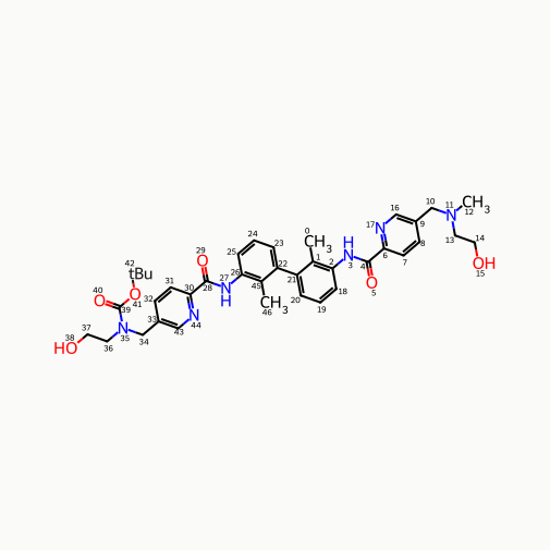 Cc1c(NC(=O)c2ccc(CN(C)CCO)cn2)cccc1-c1cccc(NC(=O)c2ccc(CN(CCO)C(=O)OC(C)(C)C)cn2)c1C